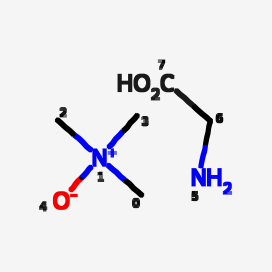 C[N+](C)(C)[O-].NCC(=O)O